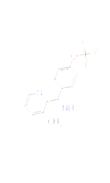 Cc1cccnc1C(N)c1ccc(OC(F)(F)F)cc1